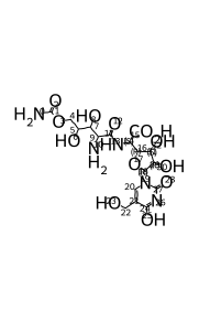 NC(=O)OCC(O)C(O)C(N)C(=O)N[C@H](C(=O)O)[C@H]1O[C@@H](n2cc(CO)c(O)nc2=O)[C@H](O)[C@@H]1O